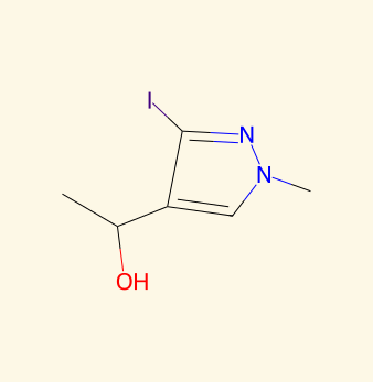 CC(O)c1cn(C)nc1I